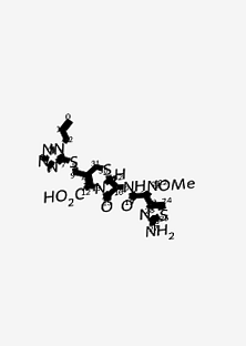 C=CCn1nnnc1SCC1=C(C(=O)O)N2C(=O)C(NC(=O)C(=NOC)c3csc(N)n3)[C@@H]2SC1